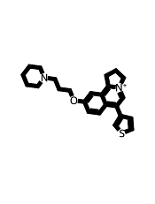 c1cc(-c2c[n+]3c(c4cc(OCCCN5CCCCC5)ccc24)CCC3)cs1